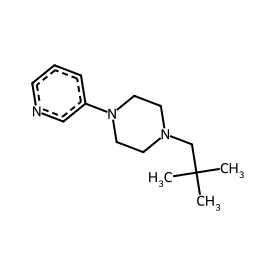 CC(C)(C)CN1CCN(c2cccnc2)CC1